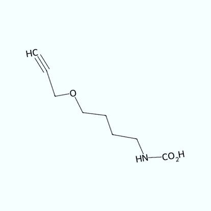 C#CCOCCCCNC(=O)O